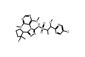 COc1ncnc(OC)c1-n1c(NS(=O)(=O)C(C)C(OC)c2ncc(Cl)cn2)nnc1C1CCCC1(F)F